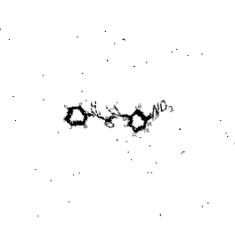 O=C(Nc1ccccc1)Nc1cccc([N+](=O)[O-])c1